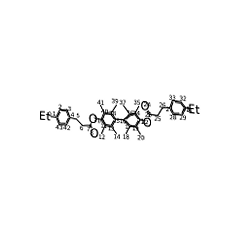 CCc1ccc(CCC(=O)Oc2c(C)c(C)c(-c3c(C)c(C)c(OC(=O)CCc4ccc(CC)cc4)c(C)c3C)c(C)c2C)cc1